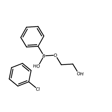 Clc1ccccc1.OCCOB(O)c1ccccc1